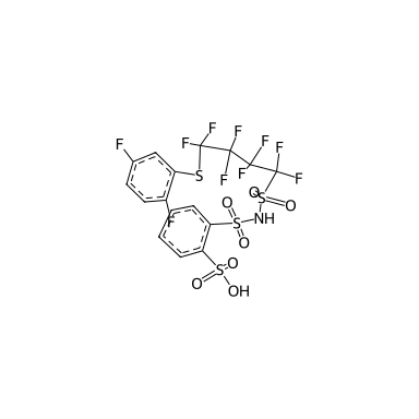 O=S(=O)(O)c1ccccc1S(=O)(=O)NS(=O)(=O)C(F)(F)C(F)(F)C(F)(F)C(F)(F)Sc1cc(F)ccc1F